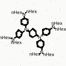 CCCCCCN(CCCCCC)c1ccc([N+](=C2C=CC(=[N+](c3ccc(N(CCCCCC)CCCCCC)cc3)c3ccc(N(CCCCCC)CCCCCC)cc3)C=C2)c2ccc(N(CCCCCC)CCCCCC)cc2)cc1